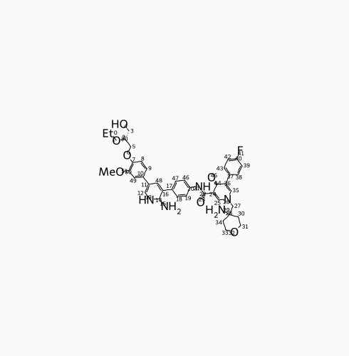 CCO[C@H](CO)COc1ccc(C2=CNC(N)C(c3ccc(NC(=O)c4cn(CC5(N)CCOCC5)cc(-c5ccc(F)cc5)c4=O)cc3)=C2)cc1OC